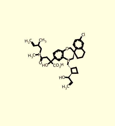 C=CC(C)CN(C)C(=O)CC(O)(C(=O)O)c1ccc2c(c1)N(C[C@@H]1CC[C@H]1C(O)C=C)C[C@@]1(CCCc3cc(Cl)ccc31)CO2